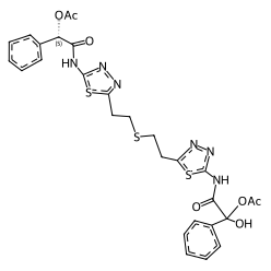 CC(=O)O[C@H](C(=O)Nc1nnc(CCSCCc2nnc(NC(=O)C(O)(OC(C)=O)c3ccccc3)s2)s1)c1ccccc1